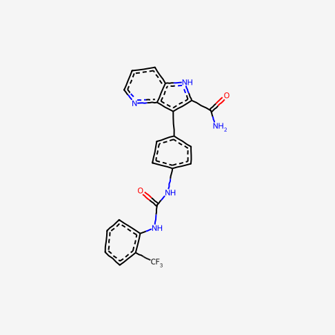 NC(=O)c1[nH]c2cccnc2c1-c1ccc(NC(=O)Nc2ccccc2C(F)(F)F)cc1